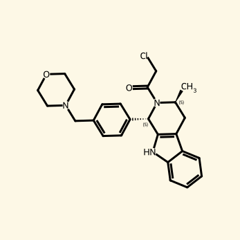 C[C@H]1Cc2c([nH]c3ccccc23)[C@H](c2ccc(CN3CCOCC3)cc2)N1C(=O)CCl